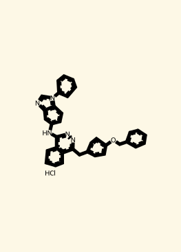 Cl.c1ccc(COc2ccc(Cc3nnc(Nc4ccc5c(c4)ncn5-c4ccccc4)c4ccccc34)cc2)cc1